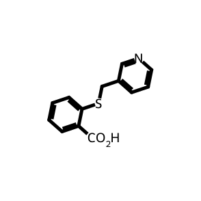 O=C(O)c1ccccc1SCc1cccnc1